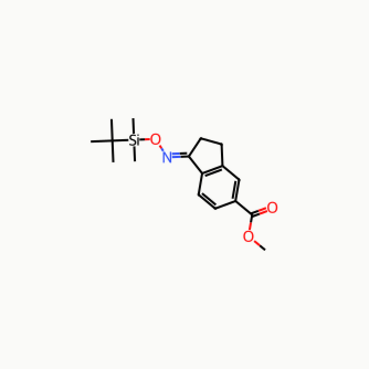 COC(=O)c1ccc2c(c1)CC/C2=N\O[Si](C)(C)C(C)(C)C